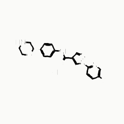 Cl.O=C(Nc1ccc([C@H]2CNCCO2)cc1)c1cnn(-c2ccc(Cl)cn2)c1